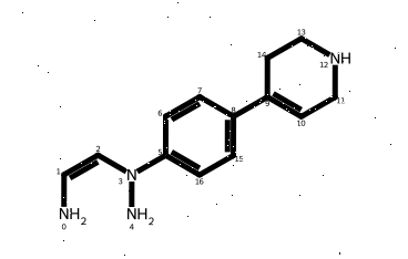 N/C=C\N(N)c1ccc(C2=CCNCC2)cc1